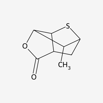 CC1C2CC3C(=O)OC1C3S2